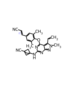 C=Cc1c2c(Oc3c(C)cc(/C=C/C#N)cc3C)nc(NC34CC(C#N)(C3)C4)nc2nn1C